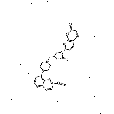 COc1ccc2nccc(N3CCN(CC4CN(c5ccc6ncc(=O)oc6n5)C(=O)O4)CC3)c2n1